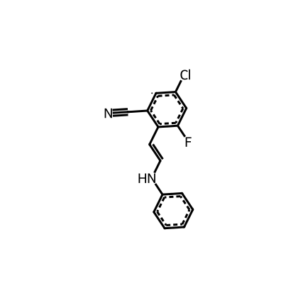 N#Cc1[c]c(Cl)cc(F)c1C=CNc1ccccc1